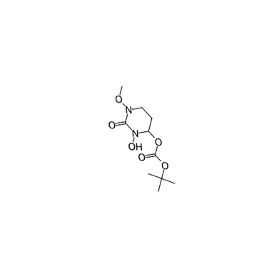 CON1CCC(OC(=O)OC(C)(C)C)N(O)C1=O